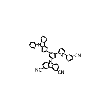 N#Cc1cccc(-c2cccc(-c3cc(-c4ccc5c(c4)c4ccccc4n5-c4ccccc4)cc(-n4c5ccc(C#N)cc5c5cc(C#N)ccc54)c3)n2)c1